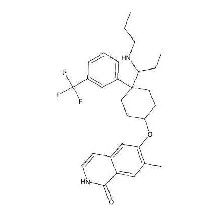 CCCNC(CC)C1(c2cccc(C(F)(F)F)c2)CCC(Oc2cc3cc[nH]c(=O)c3cc2C)CC1